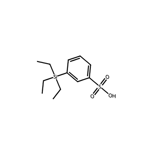 CC[Si](CC)(CC)c1cccc(S(=O)(=O)O)c1